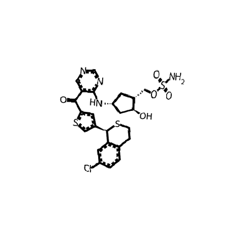 NS(=O)(=O)OC[C@H]1C[C@@H](Nc2ncncc2C(=O)c2cc([C@H]3SCCc4ccc(Cl)cc43)cs2)C[C@@H]1O